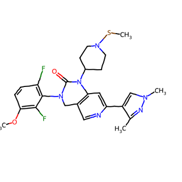 COc1ccc(F)c(N2Cc3cnc(-c4cn(C)nc4C)cc3N(C3CCN(SC)CC3)C2=O)c1F